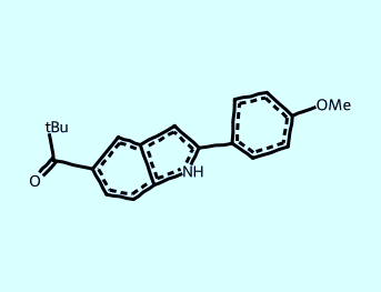 COc1ccc(-c2cc3cc(C(=O)C(C)(C)C)ccc3[nH]2)cc1